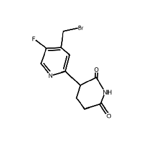 O=C1CCC(c2cc(CBr)c(F)cn2)C(=O)N1